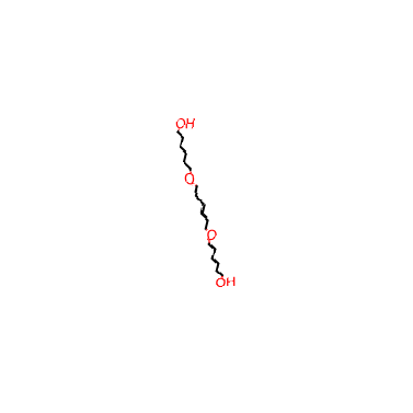 OCCCCCCOCCCCCCOCCCCCCO